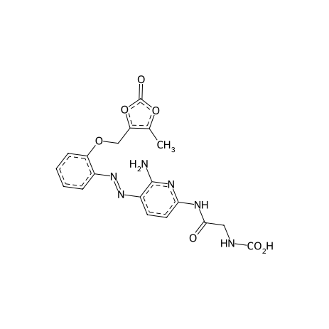 Cc1oc(=O)oc1COc1ccccc1N=Nc1ccc(NC(=O)CNC(=O)O)nc1N